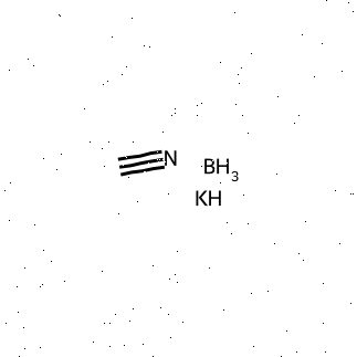 B.C#N.[KH]